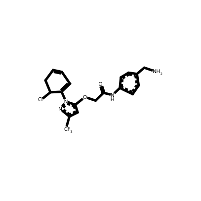 NCc1ccc(NC(=O)COc2cc(C(F)(F)F)nn2C2=CC=CCC2Cl)cc1